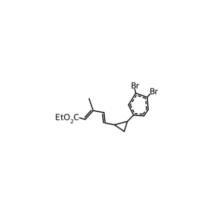 CCOC(=O)C=C(C)C=CC1CC1c1ccc(Br)c(Br)c1